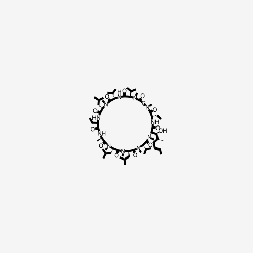 C/C=C/C[C@@H](C)[C@@H](O)[C@H]1C(=O)N[C@@H](CC)C(=O)N(C)CC(=O)N(C)[C@H](C(C)C)C(=O)N[C@@H](C(C)C)C(=O)N(C)[C@@H](CC(C)C)C(=O)NC(CC)C(=O)N[C@H](C)C(=O)N(C)[C@@H](CC(C)C)C(=O)N(C)[C@H](CC(C)C)C(=O)N(C)[C@@H](C(C)C)C(=O)N1C